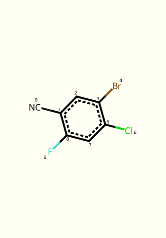 N#Cc1cc(Br)c(Cl)cc1F